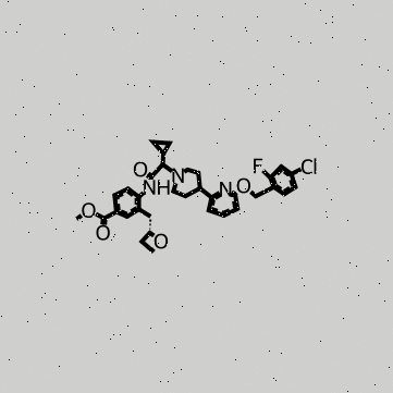 COC(=O)c1ccc(NC(=O)C(C2CC2)N2CCC(c3cccc(OCc4ccc(Cl)cc4F)n3)CC2)c(C[C@H]2CCO2)c1